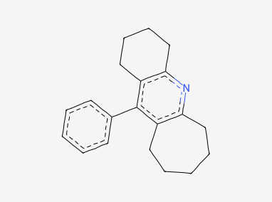 c1ccc(-c2c3c(nc4c2CCCC4)CCCCC3)cc1